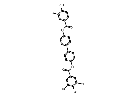 O=C(Oc1ccc(-c2ccc(OC(=O)c3cc(O)c(Br)c(O)c3)cc2)cc1)c1ccc(O)c(O)c1